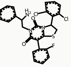 NC(Cn1c(=O)c(-c2ccccc2F)c2n(c1=O)C(c1c(Cl)cccc1Cl)CS2)c1ccccc1